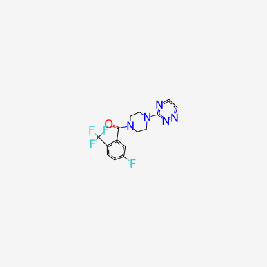 O=C(c1cc(F)ccc1C(F)(F)F)N1CCN(c2nccnn2)CC1